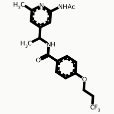 CC(=O)Nc1cc(C(C)NC(=O)c2ccc(OCCC(F)(F)F)cc2)cc(C)n1